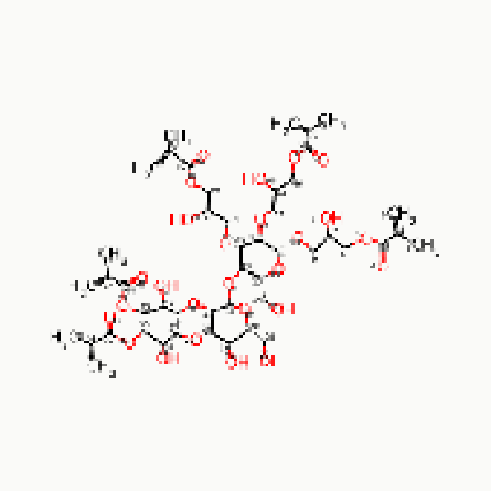 C=C(C)C(=O)OCC(O)CO[C@@H]1O[C@H](CO)[C@@H](O[C@H]2O[C@H](CO)[C@@H](O)[C@H](OCC(O)COC(=O)C(=C)C)[C@H]2OCC(O)COC(=O)C(=C)C)[C@H](OCC(O)COC(=O)C(=C)C)[C@H]1OCC(O)COC(=O)C(=C)C